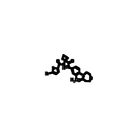 Cc1cc(NC(=O)C2(NC(=O)c3ccc(Br)s3)CCC2)ccc1N1CCOCCC1=O